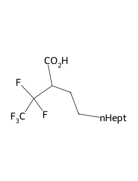 CCCCCCCCCC(C(=O)O)C(F)(F)C(F)(F)F